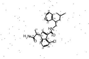 CC(C)CC(CNC(=O)c1cn(C(C)C(N)=O)c2nccc(Cl)c12)c1cccnc1